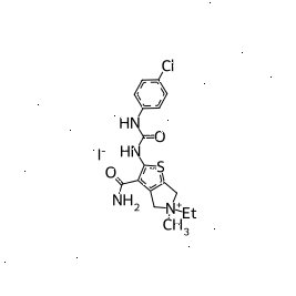 CC[N+]1(C)Cc2sc(NC(=O)Nc3ccc(Cl)cc3)c(C(N)=O)c2C1.[I-]